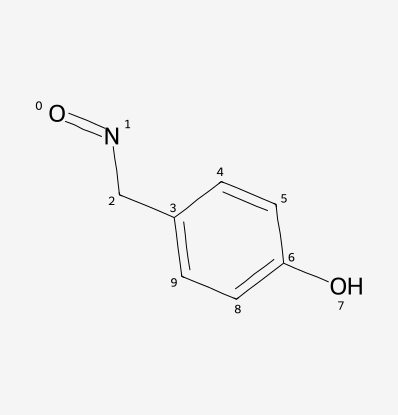 O=NCc1ccc(O)cc1